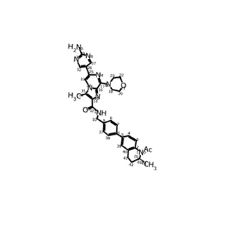 CC(=O)N1c2ccc(-c3ccc(CNC(=O)c4nc5c(N6CCOCC6)nc(-c6cnc(N)nc6)cn5c4C)cc3)cc2CC[C@@H]1C